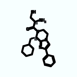 N[C@H](CS)C(=O)N1CCn2cc(-c3ccccc3)nc2[C@@H]1CC1CCCCC1